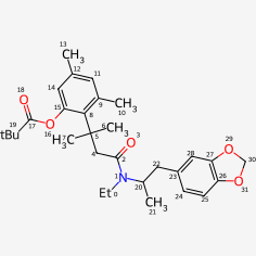 CCN(C(=O)CC(C)(C)c1c(C)cc(C)cc1OC(=O)C(C)(C)C)C(C)Cc1ccc2c(c1)OCO2